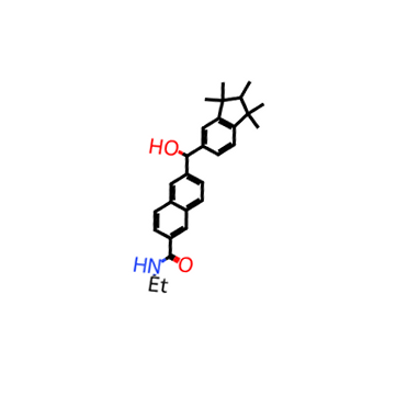 CCNC(=O)c1ccc2cc(C(O)c3ccc4c(c3)C(C)(C)C(C)C4(C)C)ccc2c1